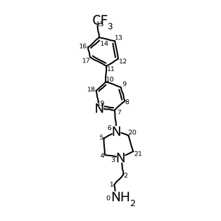 NCCN1CCN(c2ccc(-c3ccc(C(F)(F)F)cc3)cn2)CC1